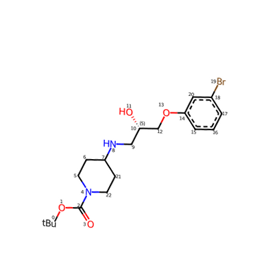 CC(C)(C)OC(=O)N1CCC(NC[C@H](O)COc2cccc(Br)c2)CC1